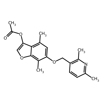 CC(=O)Oc1coc2c(C)c(OCc3ccc(C)nc3C)cc(C)c12